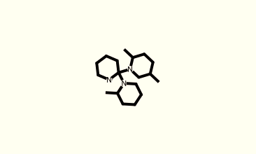 CC1CCC(C)N(C2(N3CCCCC3C)CCCC[N]2)C1